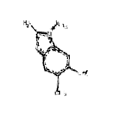 Cc1cc2nc(N)n(N)c2cc1C